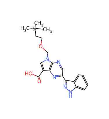 C[Si](C)(C)CCOCn1cc(C(=O)O)c2nc(-c3n[nH]c4ccccc34)cnc21